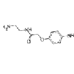 CC(=O)Nc1ccc(OCC(=O)NCCN)cc1